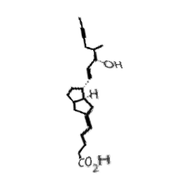 CC#CCC(C)[C@H](O)/C=C/[C@H]1CCC2C/C(=C\CCCC(=O)O)C[C@@H]21